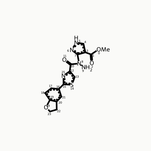 COC(=O)c1c[nH]nc1N(N)C(=O)c1csc(-c2ccc3c(c2)CCO3)n1